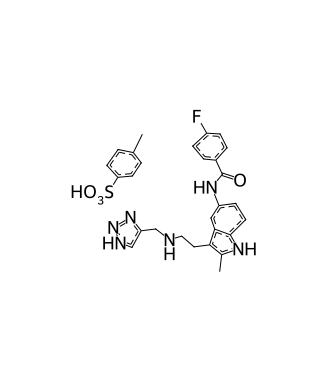 Cc1[nH]c2ccc(NC(=O)c3ccc(F)cc3)cc2c1CCNCc1c[nH]nn1.Cc1ccc(S(=O)(=O)O)cc1